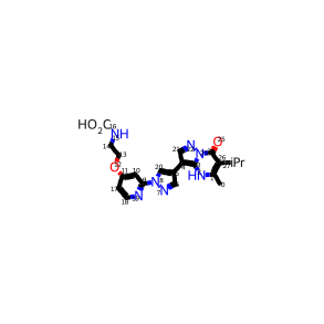 Cc1[nH]c2c(-c3cnn(-c4cc(OCCNC(=O)O)ccn4)c3)cnn2c(=O)c1C(C)C